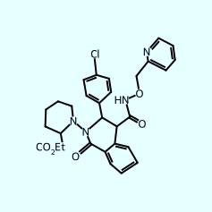 CCOC(=O)C1CCCCN1N1C(=O)c2ccccc2C(C(=O)NOCc2ccccn2)C1c1ccc(Cl)cc1